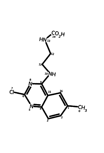 Cc1ccc2nc(Cl)nc(NCCNC(=O)O)c2c1